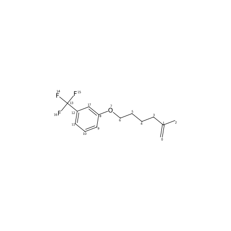 C=C(C)CCCCOc1cccc(C(F)(F)F)c1